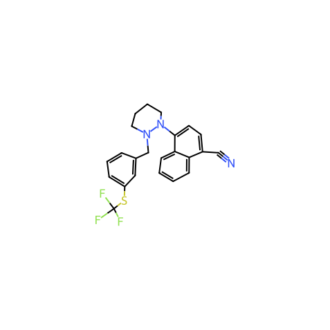 N#Cc1ccc(N2CCCCN2Cc2cccc(SC(F)(F)F)c2)c2ccccc12